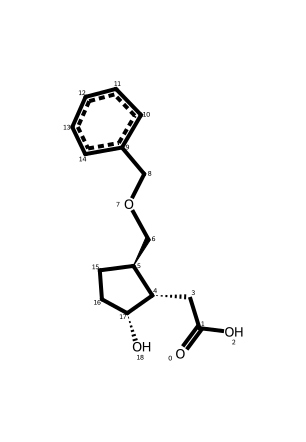 O=C(O)C[C@H]1[C@H](COCc2ccccc2)CC[C@H]1O